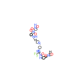 O=C1CCC(N2C(=O)c3cccc(NCC4CC5(CCN(C[C@H]6CC[C@H](n7cc(NC(=O)c8cccc9cc(N%10C[C@H]%11CC%10CO%11)oc89)c(C(F)F)n7)CC6)CC5)C4)c3C2=O)C(=O)N1